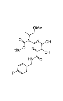 COCC(C)N(C(=O)OC(C)(C)C)c1nc(O)c(O)c(C(=O)NCc2ccc(F)cc2)n1